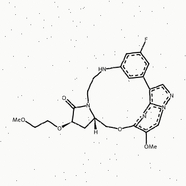 COCCO[C@@H]1C[C@H]2COc3nc4c(cnn4cc3OC)-c3cc(F)cc(c3)NCCN2C1=O